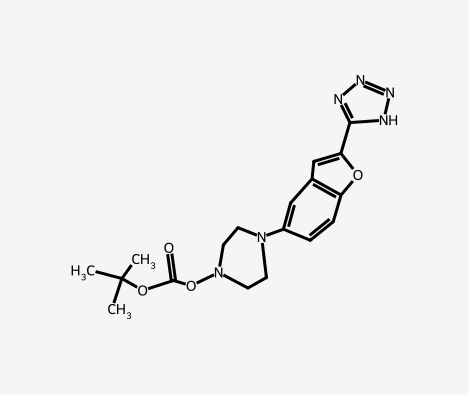 CC(C)(C)OC(=O)ON1CCN(c2ccc3oc(-c4nnn[nH]4)cc3c2)CC1